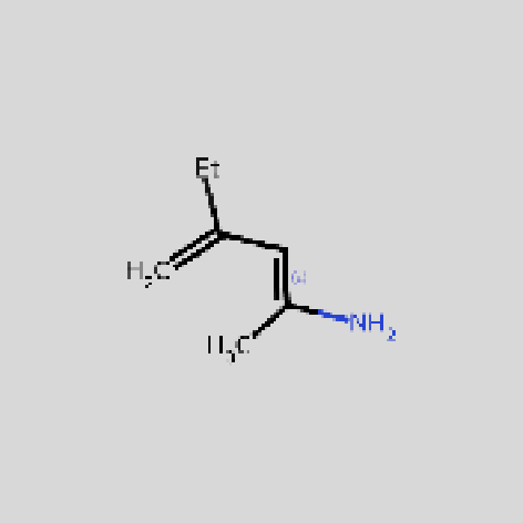 C=C(/C=C(\C)N)CC